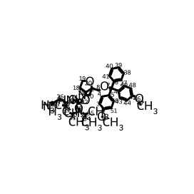 COc1ccc(C(OCC23CN(C(=O)NC(C)C)C(CO2)C3OP(OCCC#N)N(C(C)C)C(C)C)(c2ccccc2)c2ccc(OC)cc2)cc1